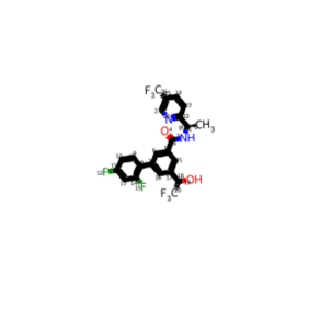 C[C@@H](NC(=O)c1cc(-c2ccc(F)cc2F)cc(C(O)C(F)(F)F)c1)c1ccc(C(F)(F)F)cn1